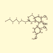 CCCCCCCN1CCc2cc(OC)c(O)c(-c3ccc(OC)cc3OC)c2C1